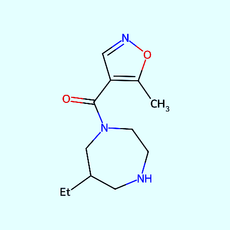 CCC1CNCCN(C(=O)c2cnoc2C)C1